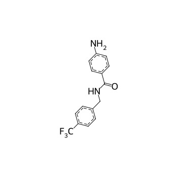 Nc1ccc(C(=O)NCc2ccc(C(F)(F)F)cc2)cc1